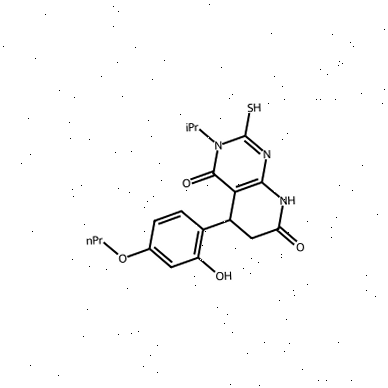 CCCOc1ccc(C2CC(=O)Nc3nc(S)n(C(C)C)c(=O)c32)c(O)c1